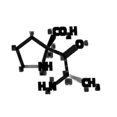 C[C@H](N)C(=O)[C@@]1(C(=O)O)CCCN1